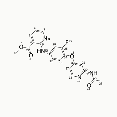 COC(=O)c1cccnc1Nc1ccc(Oc2ccnc(NC(C)=O)c2)c(F)c1